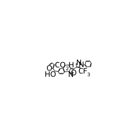 O=C(O)c1ccoc1C(O)c1ccc2c(c1)CCc1c-2noc1-c1cnn(-c2ccccc2)c1C(F)(F)F